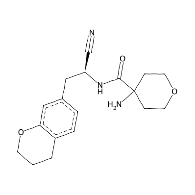 N#C[C@H](Cc1ccc2c(c1)OCCC2)NC(=O)C1(N)CCOCC1